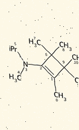 CC1=C(N(C)C(C)C)C(C)(C)C1(C)C